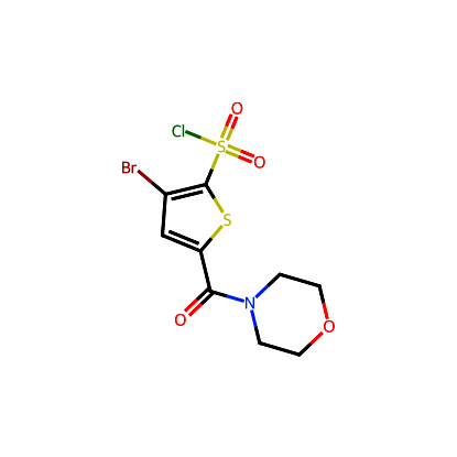 O=C(c1cc(Br)c(S(=O)(=O)Cl)s1)N1CCOCC1